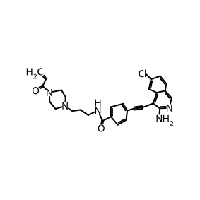 C=CC(=O)N1CCN(CCCNC(=O)c2ccc(C#Cc3c(N)ncc4ccc(Cl)cc34)cc2)CC1